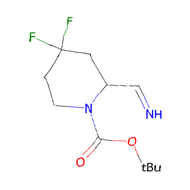 CC(C)(C)OC(=O)N1CCC(F)(F)CC1C=N